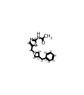 CC(=O)Nc1ncc(CN2CC(Cc3ccccc3)C2)s1